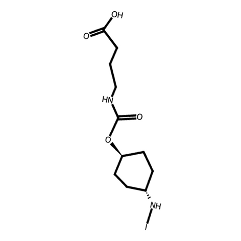 O=C(O)CCCNC(=O)O[C@H]1CC[C@H](NI)CC1